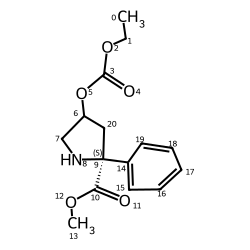 CCOC(=O)OC1CN[C@](C(=O)OC)(c2ccccc2)C1